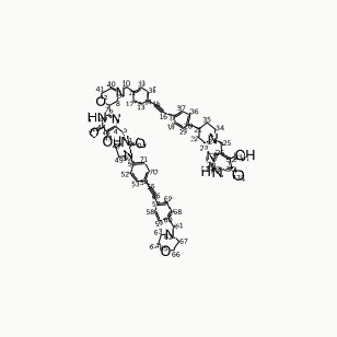 O=C1N(Cc2nc(C3CN(Cc4ccc(C#Cc5ccc(C6CCN(Cc7nc[nH]c(=O)c7O)CC6)cc5)cc4)CCO3)[nH]c(=O)c2O)CCN1c1ccc(C#Cc2ccc(CN3CCOCC3)cc2)cc1